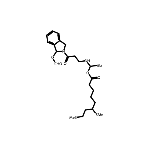 CCC(C)C(NCCC(=O)N1Cc2ccccc2C1OC=O)OC(=O)CCCCC(CCSC)SC